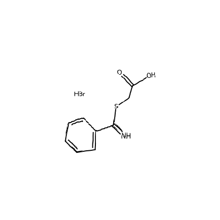 Br.N=C(SCC(=O)O)c1ccccc1